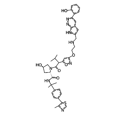 Cc1ncsc1-c1ccc(C(C)(C)NC(=O)[C@@H]2C[C@@H](O)CN2C(=O)C(c2cc(OCCNCc3cc4cc(-c5ccccc5O)nnc4[nH]3)no2)C(C)C)cc1